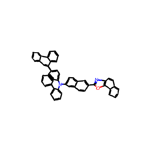 c1ccc(-c2ccccc2N(c2ccc(-c3cc4ccccc4c4ccccc34)cc2)c2ccc3cc(-c4nc5ccc6ccccc6c5o4)ccc3c2)cc1